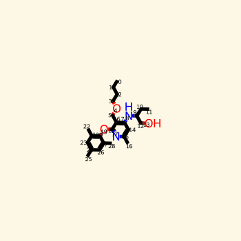 CCCCOCc1c(NC(CC)CO)cc(C)nc1Oc1c(C)cc(C)cc1C